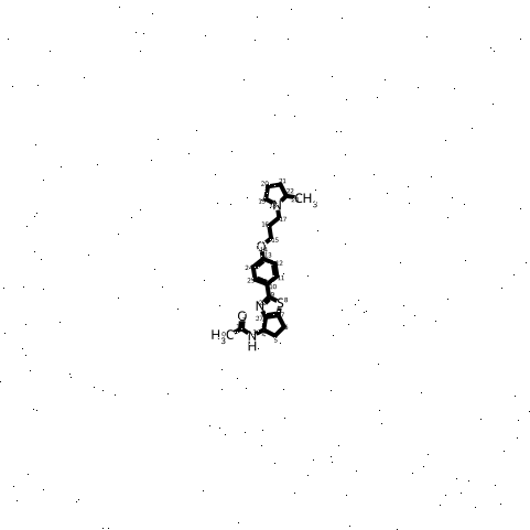 CC(=O)NC1CCc2sc(-c3ccc(OCCCN4CCCC4C)cc3)nc21